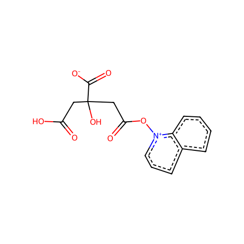 O=C(O)CC(O)(CC(=O)O[n+]1cccc2ccccc21)C(=O)[O-]